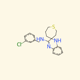 Clc1cccc(CNC2=Nc3ccccc3NC23CCCSCC3)c1